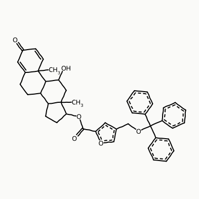 CC12C=CC(=O)C=C1CCC1C2C(O)CC2(C)C(OC(=O)c3cc(COC(c4ccccc4)(c4ccccc4)c4ccccc4)co3)CCC12